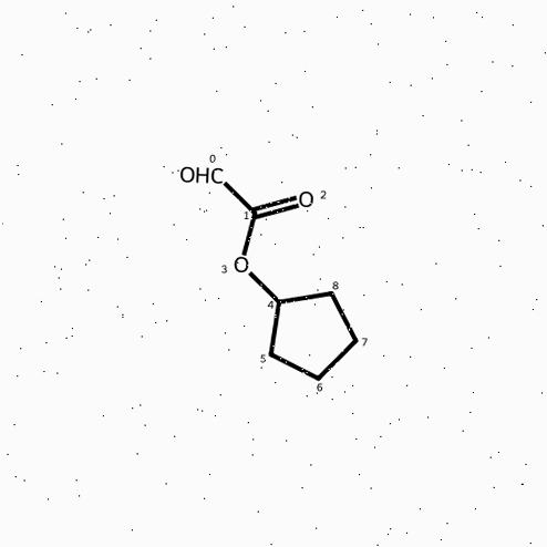 O=CC(=O)OC1CCCC1